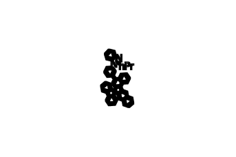 CCCc1nc2ccccc2n1-c1cccc(-c2cc3c(c4ccccc24)-c2cc4ccccc4cc2C32c3ccccc3-c3ccccc32)c1